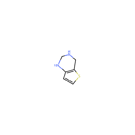 c1cc2c(s1)CNCN2